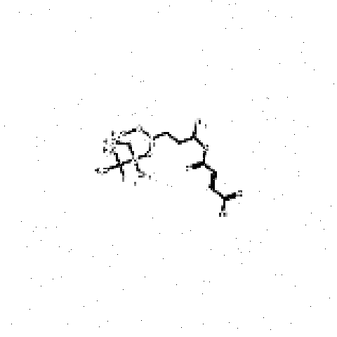 CC[Si](C)(O[SiH](CCC(C)OC(=O)/C=C/C(=O)O)O[SiH3])C(C)(C)C